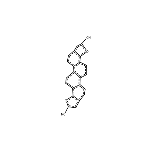 N#Cc1cc2ccc3c4ccc5c(ccc6cc(C#N)oc65)c4ccc3c2o1